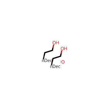 CCCCCCCCCCCCO.CCCCCCCCCCCCO.[O]